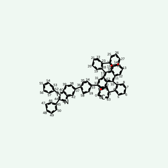 c1ccc(-c2ccccc2-c2c3ccccc3c(-c3ccccc3-c3ccccc3)c3cc(-c4ccc(-c5ccc6c(c5)nc(-c5ccccc5)n6-c5ccccc5)cc4)ccc23)cc1